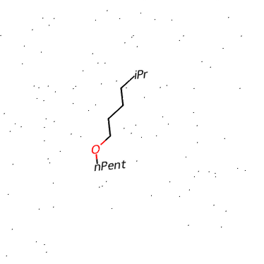 CCCCCOCCCCC(C)C